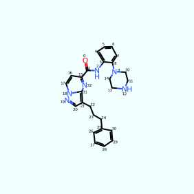 O=C(Nc1ccccc1N1CCNCC1)c1ccn2ncc(CCCc3ccccc3)c2n1